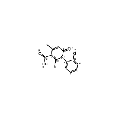 Cc1cc(=O)n(-c2ccccc2Cl)c(C)c1C(=O)O